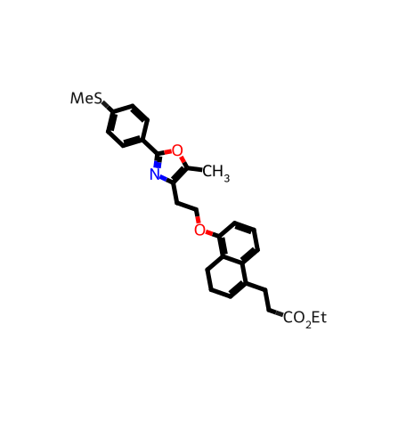 CCOC(=O)CCC1=CCCc2c(OCCc3nc(-c4ccc(SC)cc4)oc3C)cccc21